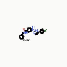 COc1cccc(CNC(=O)c2ccc(Nc3nccc(-c4ccc(Cl)cc4)n3)cc2)c1